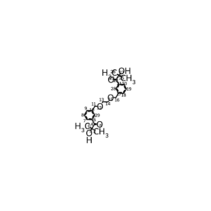 CC(C)(O)C(=O)c1cccc(COCCOCc2cccc(C(=O)C(C)(C)O)c2)c1